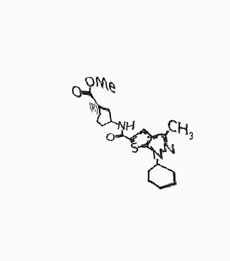 COC(=O)[C@@H]1CCC(NC(=O)c2cc3c(C)nn(C4CCCCC4)c3s2)C1